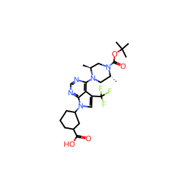 C[C@@H]1CN(c2ncnc3c2c(C(F)(F)F)cn3C2CCCC(C(=O)O)C2)[C@@H](C)CN1C(=O)OC(C)(C)C